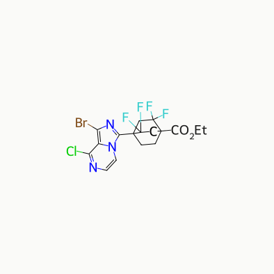 CCOC(=O)C12CCC(c3nc(Br)c4c(Cl)nccn34)(CC1(F)F)C(F)(F)C2